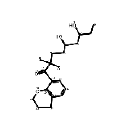 CCC(O)CC(O)CCC(C)(C)C(=O)c1cccc2c1OCCC2